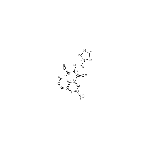 O=Nc1cc2c3c(cccc3c1)C(=O)N(CCN1CCCC1)C2=O